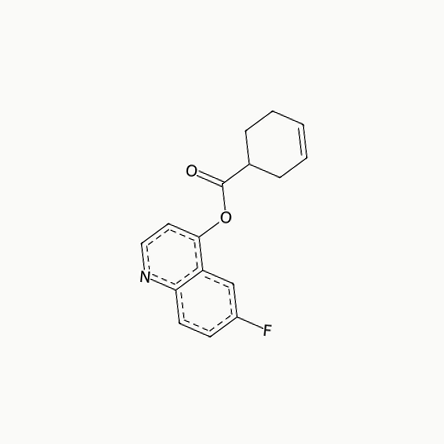 O=C(Oc1ccnc2ccc(F)cc12)C1CC=CCC1